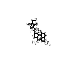 CN(c1cc(C(F)(F)F)nc2ccc(Cl)cc12)[C@H]1CC[C@@H](NC(=O)c2n[nH]c3c2COCC3)CC1